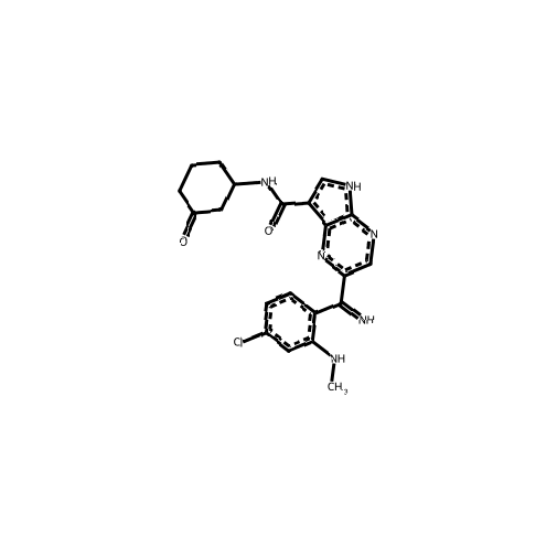 CNc1cc(Cl)ccc1C(=N)c1cnc2[nH]cc(C(=O)NC3CCCC(=O)C3)c2n1